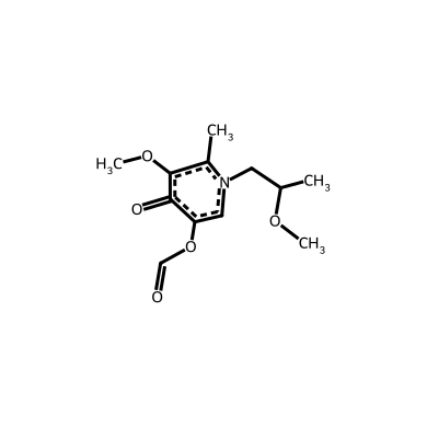 COc1c(C)n(CC(C)OC)cc(OC=O)c1=O